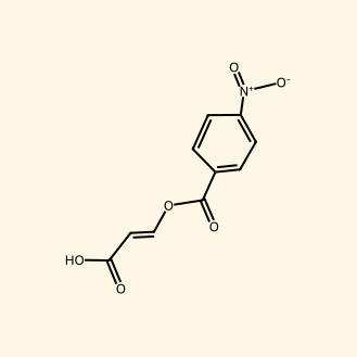 O=C(O)/C=C/OC(=O)c1ccc([N+](=O)[O-])cc1